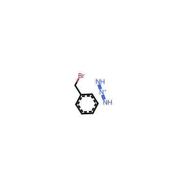 BrCc1ccccc1.N=[N+]=N